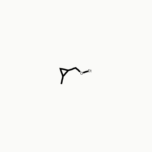 CCOCC1CC1C